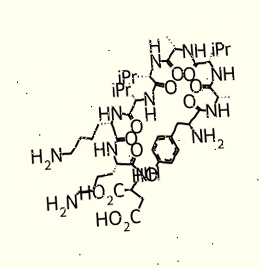 CC(C)[C@H](NC(=O)[C@H](C)NC(=O)[C@@H](N)Cc1ccc(O)cc1)C(=O)N[C@@H](C)C(=O)N[C@H](C(=O)N[C@H](C(=O)N[C@@H](CCCCN)C(=O)N[C@@H](CCCCN)C(=O)N[C@@H](CC(=O)O)C(=O)O)C(C)C)C(C)C